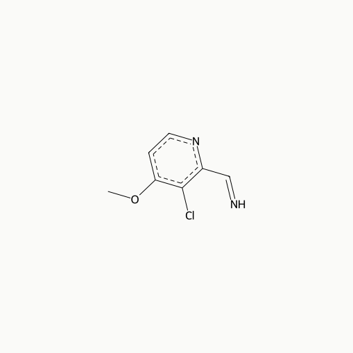 COc1ccnc(C=N)c1Cl